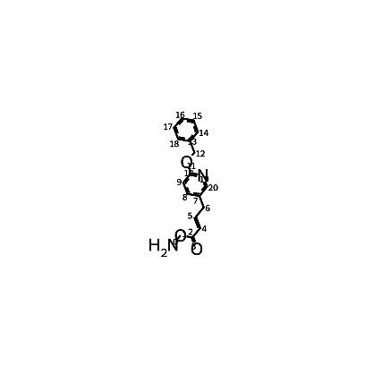 NOC(=O)C=CCc1ccc(OCc2ccccc2)nc1